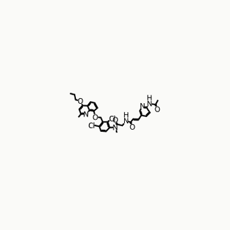 CCCOc1cc(C)nc2c(OCc3c(Cl)ccc(N(C)C(=O)CNC(=O)C=Cc4ccc(NC(C)=O)nc4)c3Cl)cccc12